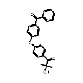 CC(C)(O)C(=O)c1ccc(Oc2ccc(C(=O)c3ccccc3)cc2)cc1